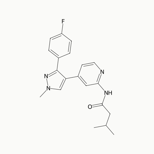 CC(C)CC(=O)Nc1cc(-c2cn(C)nc2-c2ccc(F)cc2)ccn1